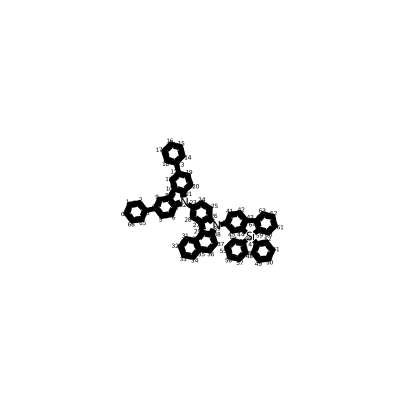 c1ccc(-c2ccc3c(c2)c2cc(-c4ccccc4)ccc2n3-c2ccc3c(c2)c2c4ccccc4ccc2n3-c2ccc3c(c2)[Si](c2ccccc2)(c2ccccc2)c2ccccc2-3)cc1